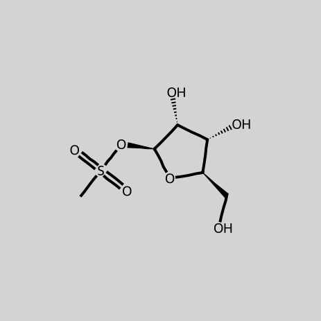 CS(=O)(=O)O[C@@H]1O[C@H](CO)[C@@H](O)[C@H]1O